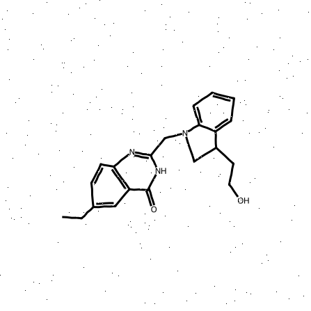 CCc1ccc2nc(CN3CC(CCO)c4ccccc43)[nH]c(=O)c2c1